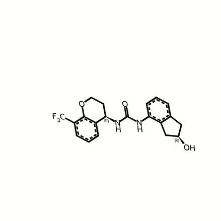 O=C(Nc1cccc2c1C[C@H](O)C2)N[C@@H]1CCOc2c1cccc2C(F)(F)F